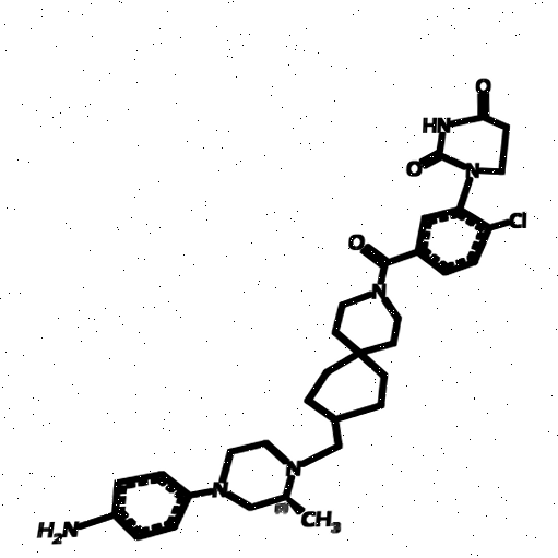 C[C@H]1CN(c2ccc(N)cc2)CCN1CC1CCC2(CC1)CCN(C(=O)c1ccc(Cl)c(N3CCC(=O)NC3=O)c1)CC2